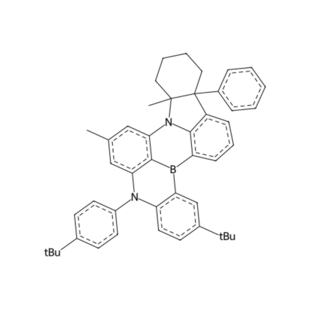 Cc1cc2c3c(c1)N1c4c(cccc4C4(c5ccccc5)CCCCC14C)B3c1cc(C(C)(C)C)ccc1N2c1ccc(C(C)(C)C)cc1